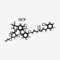 CCOC(=O)CC1OC(c2cccc(OCCCNCCCc3ccccc3Cl)c2OC)c2cc(Cl)ccc2N(CC(C)(C)C)C1=O.Cl